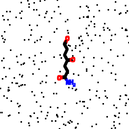 NC(=O)CCC(=O)CCC=O